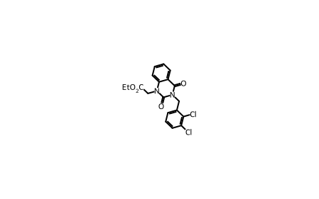 CCOC(=O)Cn1c(=O)n(Cc2cccc(Cl)c2Cl)c(=O)c2ccccc21